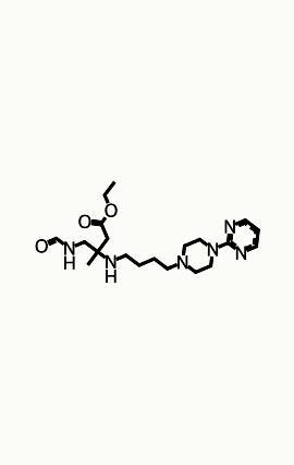 CCOC(=O)CC(C)(CNC=O)NCCCCN1CCN(c2ncccn2)CC1